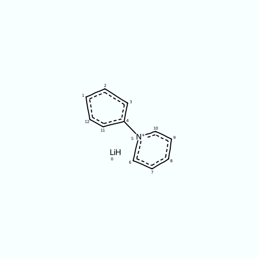 [LiH].c1ccc(-[n+]2ccccc2)cc1